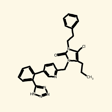 CCCc1c(Cl)n(CCc2ccccc2)c(=O)n1Cc1ccc(-c2ccccc2-c2nnn[nH]2)cn1